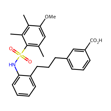 COc1cc(C)c(S(=O)(=O)Nc2ccccc2CCCc2cccc(C(=O)O)c2)c(C)c1C